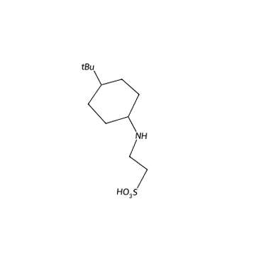 CC(C)(C)C1CCC(NCCS(=O)(=O)O)CC1